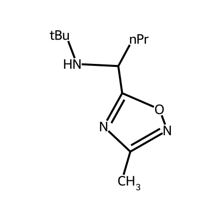 CCCC(NC(C)(C)C)c1nc(C)no1